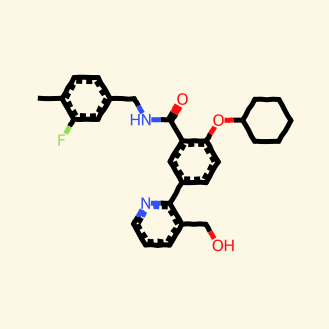 Cc1ccc(CNC(=O)c2cc(-c3ncccc3CO)ccc2OC2CCCCC2)cc1F